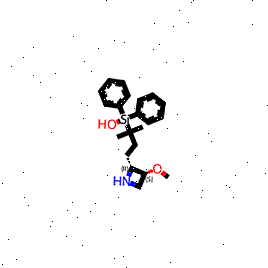 CO[C@H]1CN[C@@H]1CCC(C)(C)[Si](O)(c1ccccc1)c1ccccc1